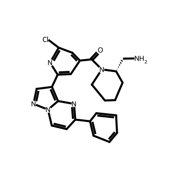 NC[C@@H]1CCCCN1C(=O)c1cc(Cl)nc(-c2cnn3ccc(-c4ccccc4)nc23)c1